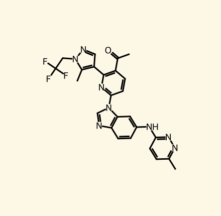 CC(=O)c1ccc(-n2cnc3ccc(Nc4ccc(C)nn4)cc32)nc1-c1cnn(CC(F)(F)F)c1C